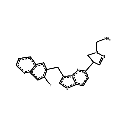 NCN1CC(c2ccc3ncc(Cc4cc5cccnc5cc4F)n3n2)C=N1